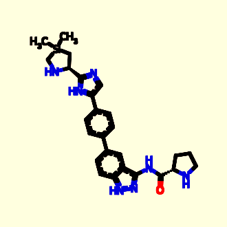 C[Si]1(C)CN[C@H](c2ncc(-c3ccc(-c4ccc5[nH]nc(NC(=O)[C@@H]6CCCN6)c5c4)cc3)[nH]2)C1